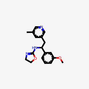 COc1cccc(C(Cc2cncc(C)c2)NC2=NCCO2)c1